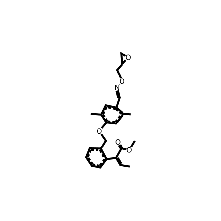 CC=C(C(=O)OC)c1ccccc1COc1cc(C)c(C=NOCC2CO2)cc1C